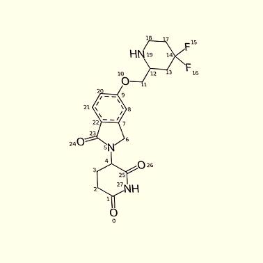 O=C1CCC(N2Cc3cc(OCC4CC(F)(F)CCN4)ccc3C2=O)C(=O)N1